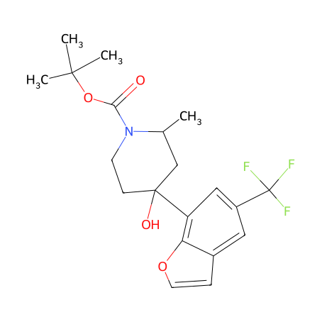 CC1CC(O)(c2cc(C(F)(F)F)cc3ccoc23)CCN1C(=O)OC(C)(C)C